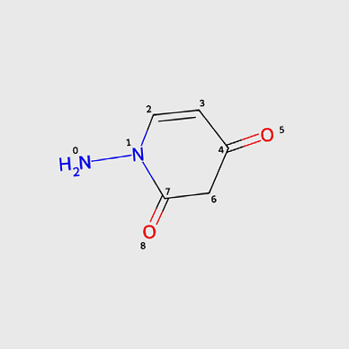 NN1C=CC(=O)CC1=O